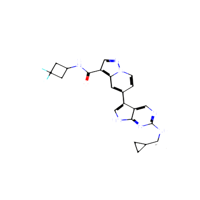 C[C@@H](Nc1ncc2c(-c3ccn4ncc(C(=O)NC5CC(F)(F)C5)c4c3)c[nH]c2n1)C1CC1